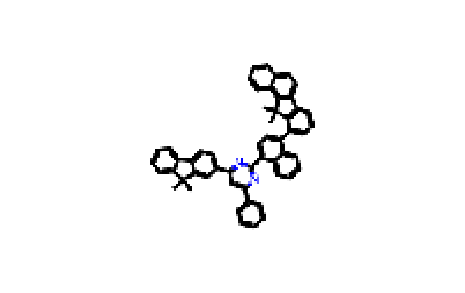 CC1(C)c2ccccc2-c2ccc(-c3cc(-c4ccccc4)nc(-c4ccc(-c5cccc6c5C(C)(C)c5c-6ccc6ccccc56)c5ccccc45)n3)cc21